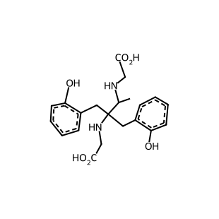 CC(NCC(=O)O)C(Cc1ccccc1O)(Cc1ccccc1O)NCC(=O)O